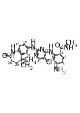 CNC(=O)c1ccc(N)cc1Nc1nc(Nc2ccc3c(c2)C(C)(C)CCC(=O)N3)ncc1Cl